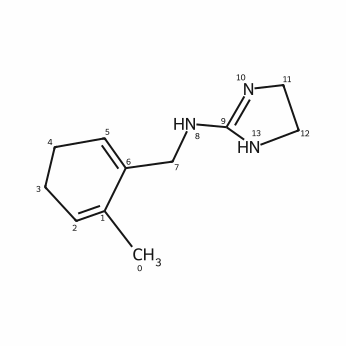 CC1=CCCC=C1CNC1=NCCN1